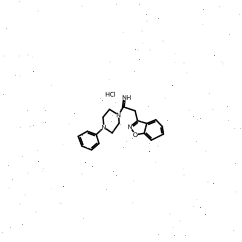 Cl.N=C(Cc1noc2ccccc12)N1CCN(c2ccccc2)CC1